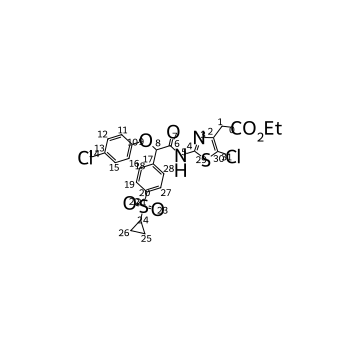 CCOC(=O)Cc1nc(NC(=O)C(Oc2ccc(Cl)cc2)c2ccc(S(=O)(=O)C3CC3)cc2)sc1Cl